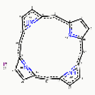 C1=Cc2cc3ccc(cc4nc(cc5ccc(cc1n2)[nH]5)C=C4)[nH]3.[P]